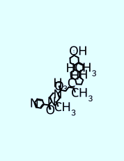 CC(CCC(=O)N1CCN(C(=O)c2ccncc2)C(C)C1)[C@H]1CC[C@H]2[C@@H]3CC=C4C[C@@H](O)CC[C@]4(C)[C@H]3CC[C@]12C